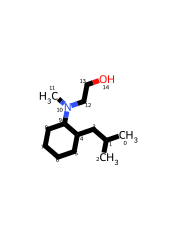 CC(C)CC1CCCCC1N(C)CCO